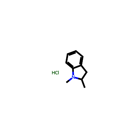 CC1Cc2ccccc2N1C.Cl